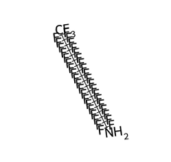 NC(F)(F)C(F)(F)C(F)(F)C(F)(F)C(F)(F)C(F)(F)C(F)(F)C(F)(F)C(F)(F)C(F)(F)C(F)(F)C(F)(F)C(F)(F)C(F)(F)C(F)(F)C(F)(F)C(F)(F)C(F)(F)C(F)(F)C(F)(F)F